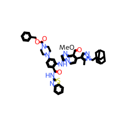 COC(=O)c1c(-c2cnn(CC34CC5CC(CC(C5)C3)C4)c2C)ccn2c(Nc3cc(N4CCN(C(=O)OCc5ccccc5)CC4)ccc3C(=O)Nc3nc4ccccc4s3)cnc12